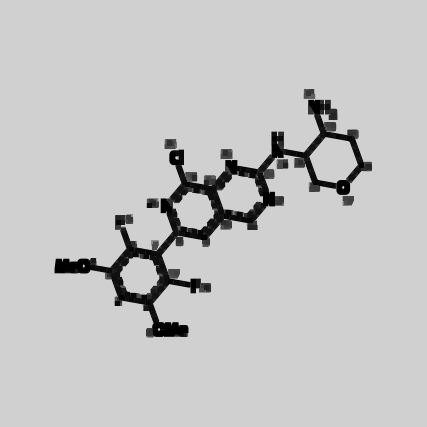 COc1cc(OC)c(F)c(-c2cc3cnc(NC4COCCC4N)nc3c(Cl)n2)c1F